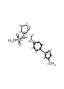 Cc1cnn(-c2ccc(OC[C@H]3OCCC[C@@H]3NS(C)(=O)=O)cc2)c1